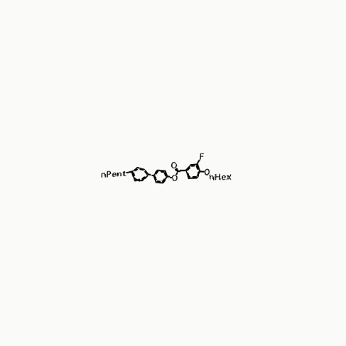 CCCCCCOc1ccc(C(=O)Oc2ccc(-c3ccc(CCCCC)cc3)cc2)cc1F